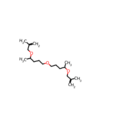 C=C(C)COC(C)CCCOCCCC(C)OCC(=C)C